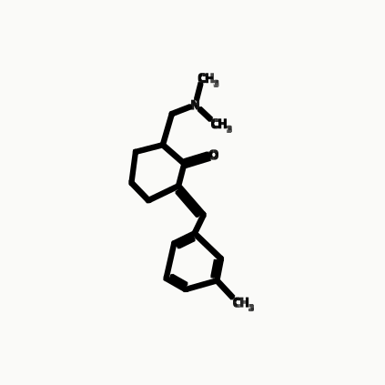 Cc1cccc(/C=C2\CCCC(CN(C)C)C2=O)c1